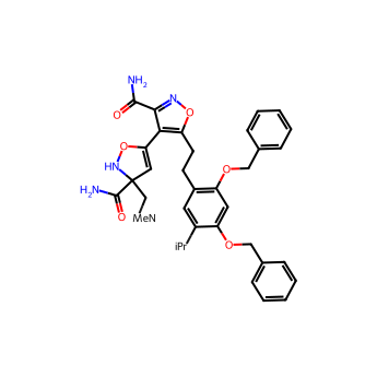 CNCC1(C(N)=O)C=C(c2c(C(N)=O)noc2CCc2cc(C(C)C)c(OCc3ccccc3)cc2OCc2ccccc2)ON1